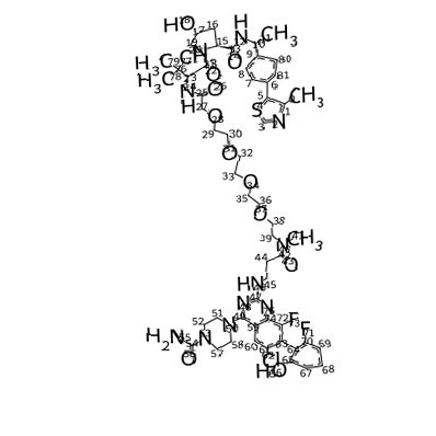 Cc1ncsc1-c1ccc([C@H](C)NC(=O)[C@@H]2C[C@@H](O)CN2C(=O)[C@@H](NC(=O)COCCOCCOCCOCCN(C)C(=O)CCNc2nc(N3CCN(C(N)=O)CC3)c3cc(Cl)c(-c4c(O)cccc4F)c(F)c3n2)C(C)(C)C)cc1